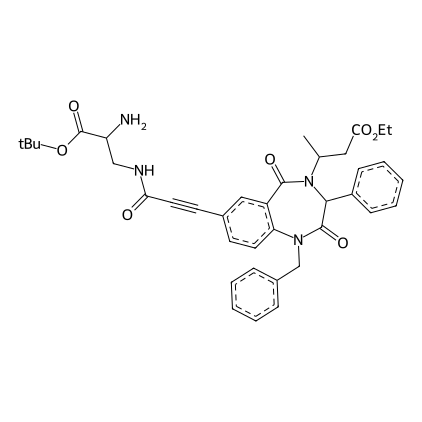 CCOC(=O)CC(C)N1C(=O)c2cc(C#CC(=O)NCC(N)C(=O)OC(C)(C)C)ccc2N(Cc2ccccc2)C(=O)C1c1ccccc1